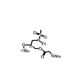 CC[C@H](C)O[C@H](COC(=O)CNC)CN(CC)S(C)(=O)=O